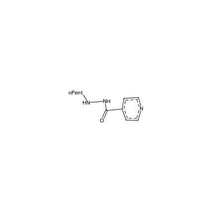 CCCCCNNC(=O)c1ccncc1